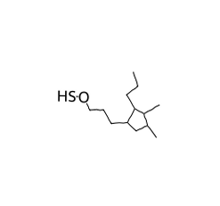 CCCC1C(CCCOS)CC(C)C1C